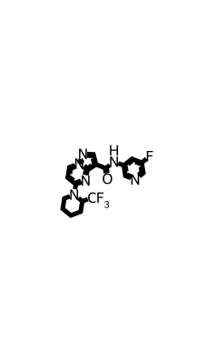 O=C(Nc1cncc(F)c1)c1cnn2ccc(N3CCCCC3C(F)(F)F)nc12